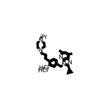 Cc1cc(C)c2nc(C3CC3)n(Cc3ccc(C=CCN4CCN(C(C)C)CC4)cc3)c2n1.Cl.Cl